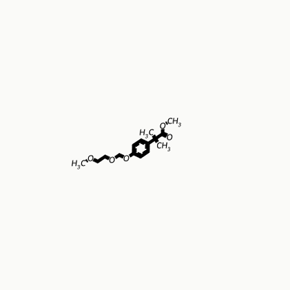 COCCOCOc1ccc(C(C)(C)C(=O)OC)cc1